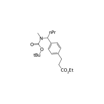 CCCC(c1ccc(CCC(=O)OCC)cc1)N(C)C(=O)OC(C)(C)C